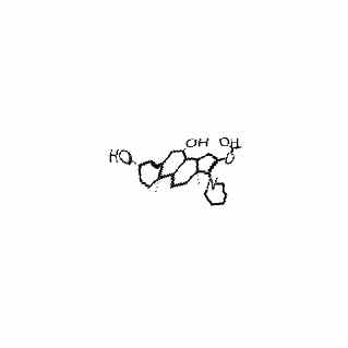 CC(O)OC1=C(N2CCCCC2)[C@@]2(C)CCC3C(C2C1)[C@@H](O)CC1=C[C@@H](O)CC[C@@]13C